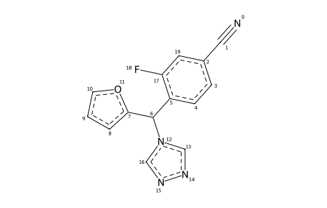 N#Cc1ccc(C(c2ccco2)n2cnnc2)c(F)c1